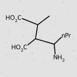 CCCC(N)C(C(=O)O)C(C)C(=O)O